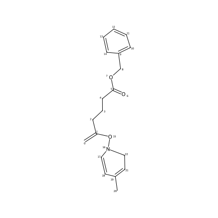 C=C(CCCC(=O)OCc1ccccc1)ON1C=CC(C)=CC1